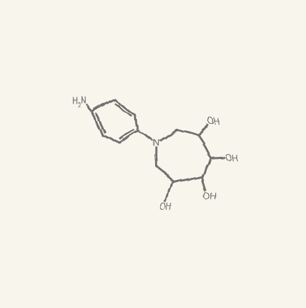 Nc1ccc(N2CC(O)C(O)C(O)C(O)C2)cc1